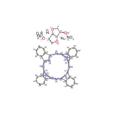 O=[N+]([O-])O[C@H]1CO[C@H]2[C@@H]1OC[C@H]2O[N+](=O)[O-].[Co].c1ccc2c(c1)-c1nc-2nc2[nH]c(nc3nc(nc4[nH]c(n1)c1ccccc41)-c1ccccc1-3)c1ccccc21